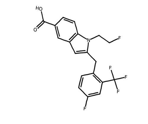 O=C(O)c1ccc2c(c1)cc(Cc1ccc(F)cc1C(F)(F)F)n2CCF